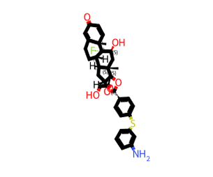 C[C@]12C=CC(=O)C=C1CC[C@H]1[C@@H]3C[C@H]4O[C@@H](c5ccc(Sc6cccc(N)c6)cc5)O[C@@]4(C(=O)CO)[C@@]3(C)C[C@H](O)[C@@]12F